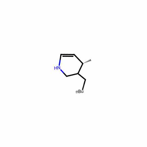 CCCCCC1CNC=C[C@@H]1C